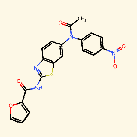 CC(=O)N(c1ccc([N+](=O)[O-])cc1)c1ccc2nc(NC(=O)c3ccco3)sc2c1